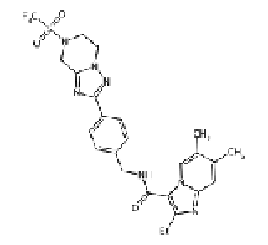 CCc1nc2cc(C)c(C)cn2c1C(=O)NCc1ccc(-c2nc3n(n2)CCN(S(=O)(=O)C(F)(F)F)C3)cc1